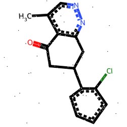 Cc1cnnc2c1C(=O)CC(c1ccccc1Cl)C2